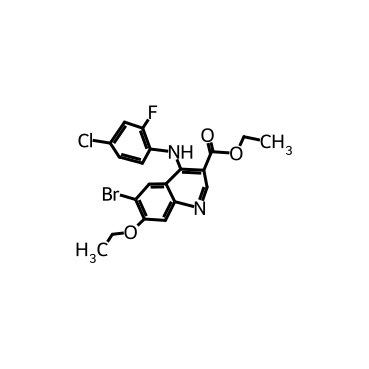 CCOC(=O)c1cnc2cc(OCC)c(Br)cc2c1Nc1ccc(Cl)cc1F